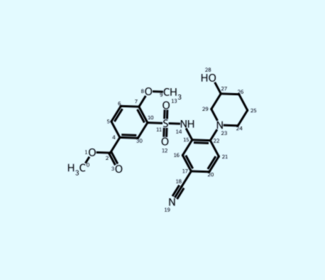 COC(=O)c1ccc(OC)c(S(=O)(=O)Nc2cc(C#N)ccc2N2CCCC(O)C2)c1